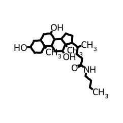 CCCCNC(=O)CCC(C)C1CCC2C3C(O)CC4CC(O)CCC4(C)C3CC(O)C12C